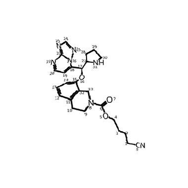 N#CCCCCOC(=O)N1CCc2cccc(O[C@@H](c3ccnc4ncnn34)C3CCCN3)c2C1